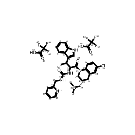 CC(c1c[nH]c2ccccc12)C(NC(=O)NCc1ccccn1)C(=O)N1C[C@@H](CN(C)C)Cc2cc(Cl)ccc21.O=C(O)C(F)(F)F.O=C(O)C(F)(F)F